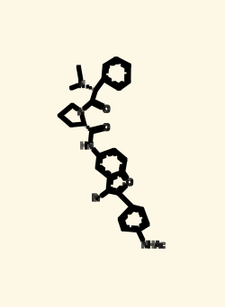 CC(=O)Nc1ccc(-c2oc3ccc(NC(=O)[C@@H]4CCCN4C(=O)[C@@H](c4ccccc4)N(C)C)cc3c2Br)cc1